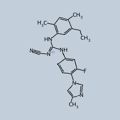 CCc1cc(N/C(=N\C#N)Nc2ccc(-n3cnc(C)c3)c(F)c2)c(C)cc1C